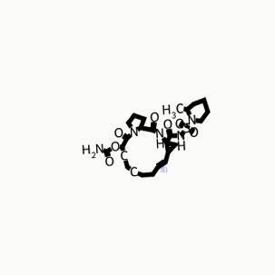 CC1CCCCN1S(=O)(=O)NC(=O)C12CC1/C=C/CCCCCC(OC(N)=O)C(=O)N1CCCC1C(=O)N2